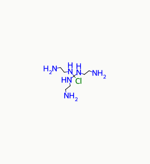 NCCNC(Cl)(NCCN)NCCN